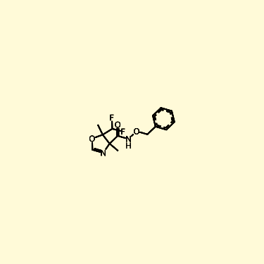 CC1(C(=O)NOCc2ccccc2)N=COC1(C)C(F)F